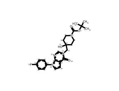 CC(C)(C)OC(=O)N1CCC(O)(Cn2cnc3c(ccn3-c3ccc(F)cc3)c2=O)CC1